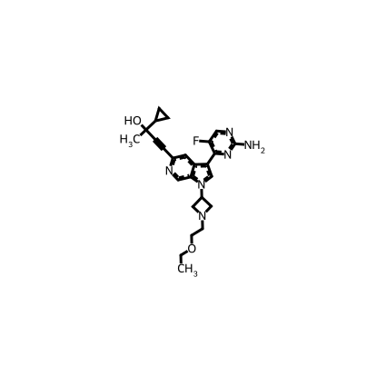 CCOCCN1CC(n2cc(-c3nc(N)ncc3F)c3cc(C#CC(C)(O)C4CC4)ncc32)C1